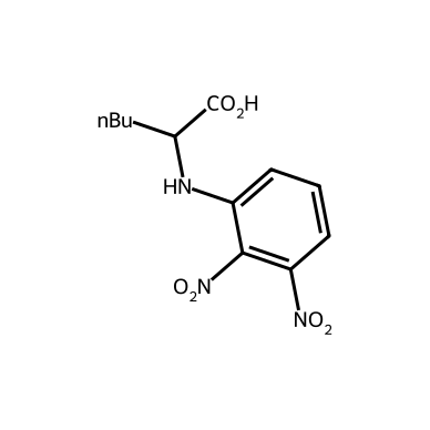 CCCCC(Nc1cccc([N+](=O)[O-])c1[N+](=O)[O-])C(=O)O